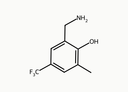 Cc1cc(C(F)(F)F)cc(CN)c1O